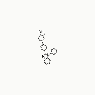 Bc1ccc(-c2ccc(-c3nc4ccccc4n3-c3ccccc3)cc2)cc1